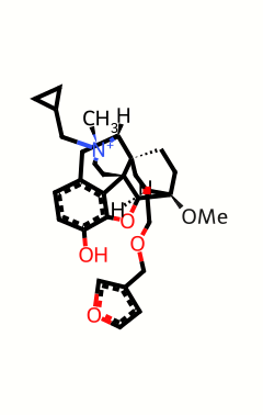 CO[C@]12CC[C@@]3(C[C@@H]1COCc1ccoc1)[C@H]1Cc4ccc(O)c5c4[C@@]3(CC[N@+]1(C)CC1CC1)[C@H]2O5